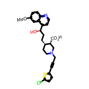 COc1ccc2nccc([C@H](O)CC[C@@H]3CCN(CC#Cc4ccc(Cl)s4)C[C@@H]3C(=O)O)c2c1